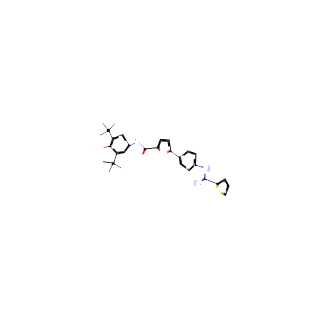 CC(C)(C)c1cc(NC(=O)c2ccc(-c3ccc(NC(=N)c4cccs4)cc3)o2)cc(C(C)(C)C)c1O